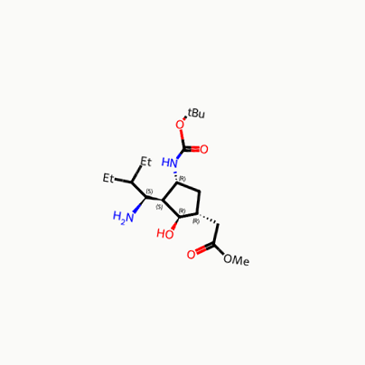 CCC(CC)[C@H](N)[C@@H]1[C@H](O)[C@@H](CC(=O)OC)C[C@H]1NC(=O)OC(C)(C)C